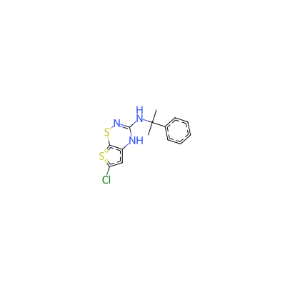 CC(C)(NC1=NSc2sc(Cl)cc2N1)c1ccccc1